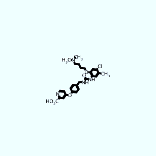 Cc1cc(NC(=O)NCc2ccc(Oc3ccnc(C(=O)O)c3)cc2)c(OCCCCN(C)C)cc1Cl